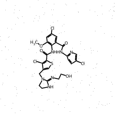 COc1cc(Cl)cc(C(=O)Nc2ccc(Cl)cn2)c1NC(=O)c1scc(CN2CCNC2=NCCO)c1Cl